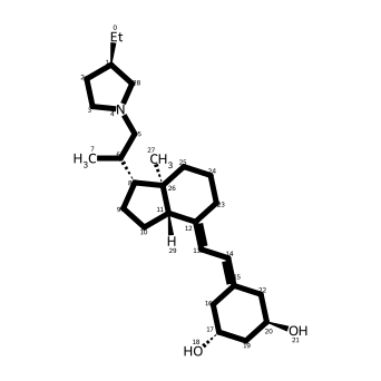 CC[C@@H]1CCN(CC(C)[C@H]2CC[C@H]3/C(=C/C=C4C[C@@H](O)C[C@H](O)C4)CCC[C@]23C)C1